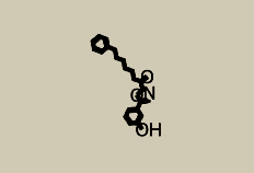 O=C(CCCCCCc1ccccc1)c1ncc(-c2cccc(O)c2)o1